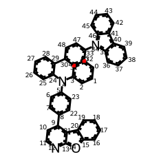 c1ccc(N(c2ccc(-c3ccnc4oc5ccccc5c34)cc2)c2ccccc2-c2ccc(-n3c4ccccc4c4ccccc43)cc2)cc1